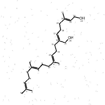 CC(C)=CCCC(C)=CCCC(C)=CCCC(=CCCC(C)=CCO)CO